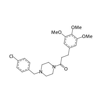 COc1cc(CCC(=O)N2CCN(Cc3ccc(Cl)cc3)CC2)cc(OC)c1OC